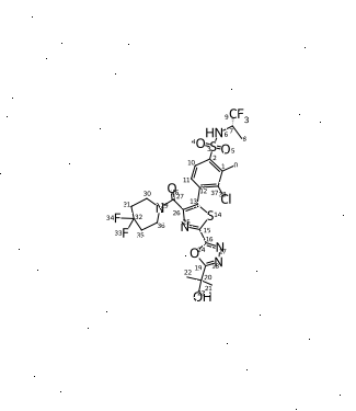 Cc1c(S(=O)(=O)N[C@@H](C)C(F)(F)F)ccc(-c2sc(-c3nnc(C(C)(C)O)o3)nc2C(=O)N2CCC(F)(F)CC2)c1Cl